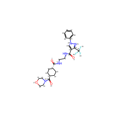 O=C(NCCNC(=O)[C@H]1CC[C@H](C(=O)N2CCOCC2)CC1)c1cn(-c2ccccc2)nc1C(F)(F)F